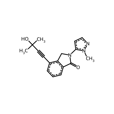 Cn1nccc1N1Cc2c(C#CC(C)(C)O)cccc2C1=O